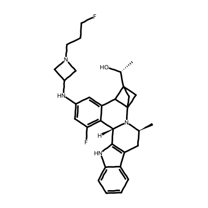 C[C@H]1Cc2c([nH]c3ccccc23)[C@@H]2c3c(F)cc(NC4CN(CCCF)C4)cc3C3C4([C@@H](C)O)CC3(C4)N21